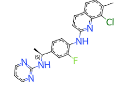 Cc1ccc2ccc(Nc3ccc([C@H](C)Nc4ncccn4)cc3F)nc2c1Cl